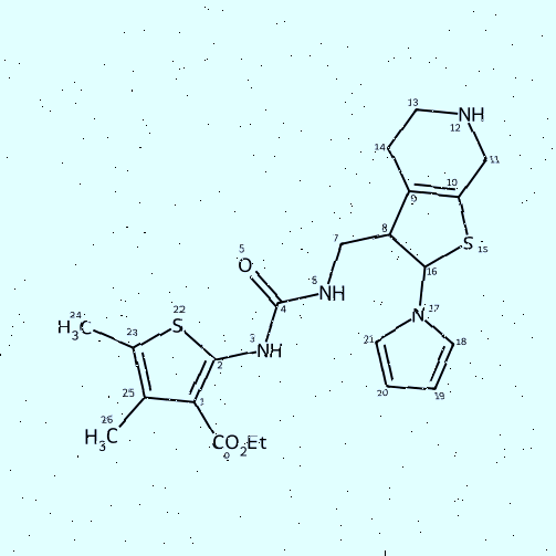 CCOC(=O)c1c(NC(=O)NCC2C3=C(CNCC3)SC2n2cccc2)sc(C)c1C